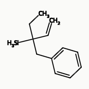 C=CC([SiH3])(CC)Cc1ccccc1